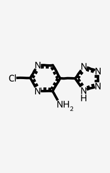 Nc1nc(Cl)ncc1-c1nnn[nH]1